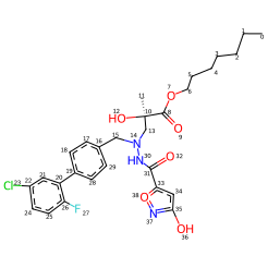 CCCCCCCOC(=O)[C@](C)(O)CN(Cc1ccc(-c2cc(Cl)ccc2F)cc1)NC(=O)c1cc(O)no1